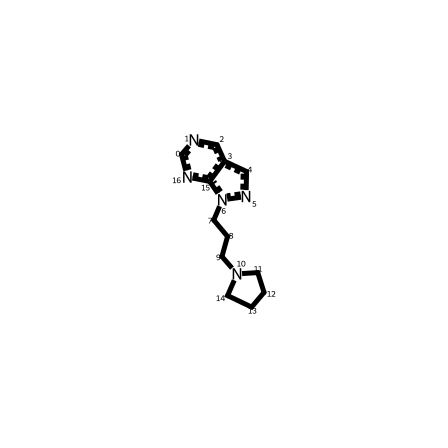 c1ncc2cnn(CCCN3CCCC3)c2n1